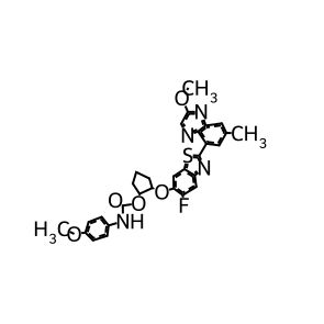 COc1ccc(NC(=O)O[C@@H]2CCC[C@@H]2Oc2cc3sc(-c4cc(C)cc5nc(OC)cnc45)nc3cc2F)cc1